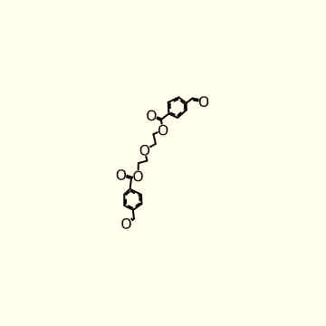 O=Cc1ccc(C(=O)OCCOCCOC(=O)c2ccc(C=O)cc2)cc1